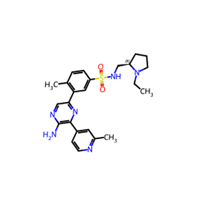 CCN1CCC[C@@H]1CNS(=O)(=O)c1ccc(C)c(-c2cnc(N)c(-c3ccnc(C)c3)n2)c1